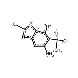 [2H]C(C)(O)c1c(N)cc2nc(C)oc2c1[3H]